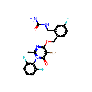 Cc1nc(OCc2ccc(F)cc2CNC(N)=O)c(Br)c(=O)n1-c1c(F)cccc1F